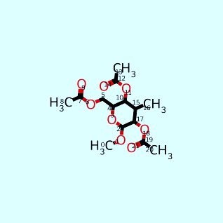 COC1OC(COC(C)=O)C(OC(C)=O)C(C)C1OC(C)=O